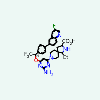 CCC1NC(C(=O)O)CC12CCN(c1cc(O[C@H](c3ccc(-c4ccc5ncc(F)cc5c4)cc3)C(F)(F)F)nc(N)n1)CC2